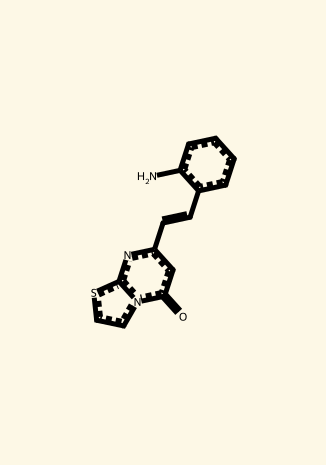 Nc1ccccc1/C=C/c1cc(=O)n2ccsc2n1